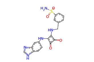 NS(=O)(=O)c1cccc(CNc2c(Nc3ccc4[nH]cnc4c3)c(=O)c2=O)c1